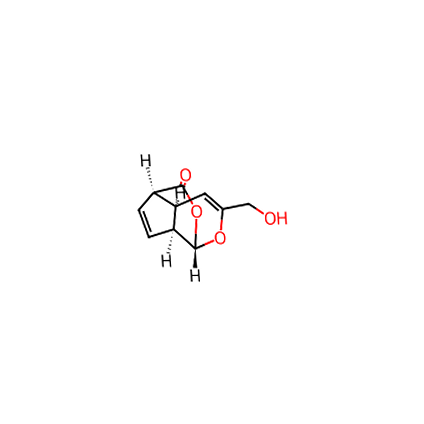 O=C1O[C@@H]2OC(CO)=C[C@H]3[C@@H]2C=C[C@@H]13